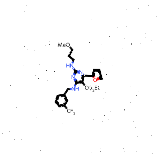 CCOC(=O)c1c(NCc2cccc(C(F)(F)F)c2)nc(NCCCOC)nc1-c1ccco1